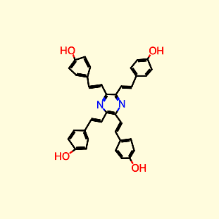 Oc1ccc(C=Cc2nc(C=Cc3ccc(O)cc3)c(C=Cc3ccc(O)cc3)nc2C=Cc2ccc(O)cc2)cc1